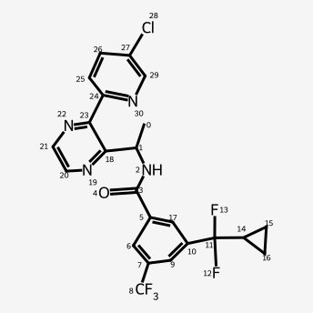 CC(NC(=O)c1cc(C(F)(F)F)cc(C(F)(F)C2CC2)c1)c1nccnc1-c1ccc(Cl)cn1